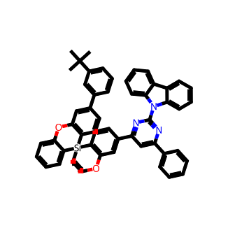 CC(C)(C)c1cccc(-c2ccc3c(c2)Oc2ccccc2[Si]32c3ccccc3Oc3cc(-c4cc(-c5ccccc5)nc(-n5c6ccccc6c6ccccc65)n4)ccc32)c1